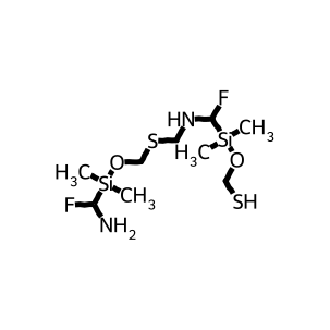 C[Si](C)(OCSCNC(F)[Si](C)(C)OCS)C(N)F